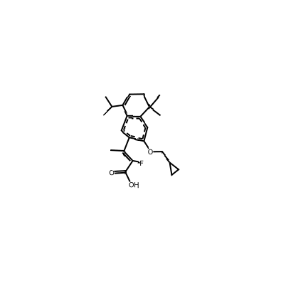 CC(=C(F)C(=O)O)c1cc2c(cc1OCC1CC1)C(C)(C)CC=C2C(C)C